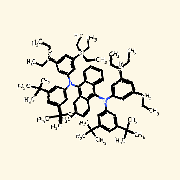 CC[SiH2]c1cc(N(c2cc(C(C)(C)C)cc(C(C)(C)C)c2)c2c3ccccc3c(N(c3cc(C(C)(C)C)cc(C(C)(C)C)c3)c3cc([SiH](CC)CC)cc([Si](CC)(CC)CC)c3)c3cc(C)ccc23)cc([SiH](CC)CC)c1